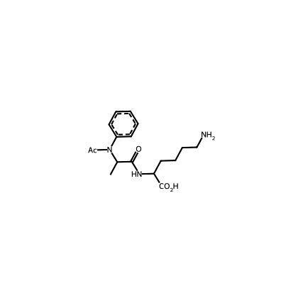 CC(=O)N(c1ccccc1)C(C)C(=O)NC(CCCCN)C(=O)O